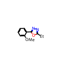 CCc1nnc(-c2ccccc2OC)o1